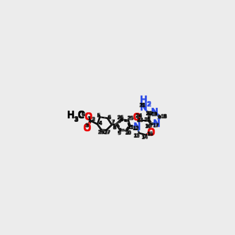 COC(=O)C1CCC(c2ccc(N3CCOc4ncnc(N)c4C3=O)cc2)CC1